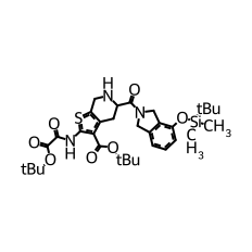 CC(C)(C)OC(=O)C(=O)Nc1sc2c(c1C(=O)OC(C)(C)C)CC(C(=O)N1Cc3cccc(O[Si](C)(C)C(C)(C)C)c3C1)NC2